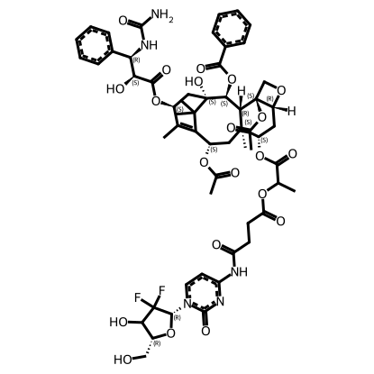 CC(=O)O[C@H]1C[C@]2(C)[C@@H](OC(=O)C(C)OC(=O)CCC(=O)Nc3ccn([C@@H]4O[C@H](CO)C(O)C4(F)F)c(=O)n3)C[C@H]3OC[C@@]3(OC(C)=O)[C@H]2[C@H](OC(=O)c2ccccc2)[C@]2(O)C[C@H](OC(=O)[C@@H](O)[C@H](NC(N)=O)c3ccccc3)C(C)=C1C2(C)C